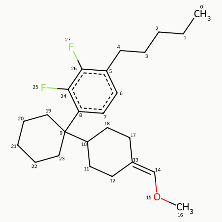 CCCCCc1ccc(C2(C3CCC(=COC)CC3)CCCCC2)c(F)c1F